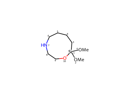 CO[Si]1(OC)CCCCNCCO1